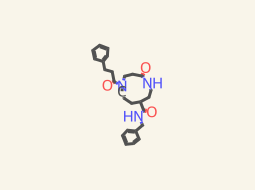 O=C1CCN(C(=O)CCc2ccccc2)CCCC(C(=O)NCc2ccccc2)CCN1